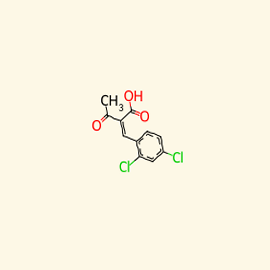 CC(=O)C(=Cc1ccc(Cl)cc1Cl)C(=O)O